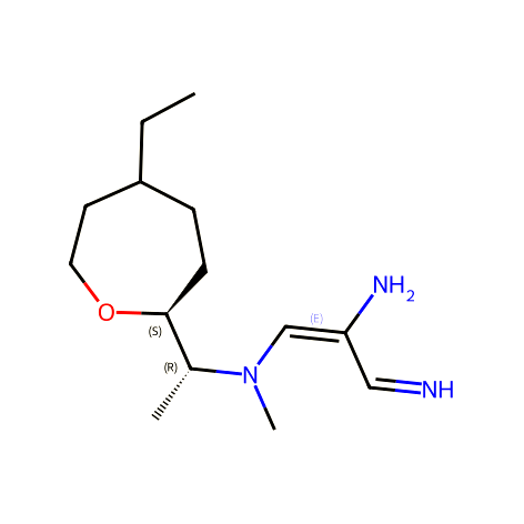 CCC1CCO[C@H]([C@@H](C)N(C)/C=C(/N)C=N)CC1